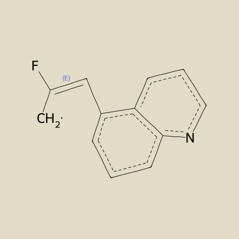 [CH2]/C(F)=C\c1cccc2ncccc12